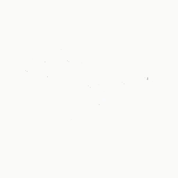 Nc1nc(/C(=N/OCC(=O)O)C(=O)NC2C(=O)N(S)C2Cn2cncn2)cs1